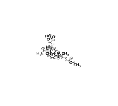 CCOC(=O)CCCN(C)S(=O)(=O)c1cccc2c(C(C)(C)C(C)=O)c(NCCCS(=O)(=O)O)ccc12